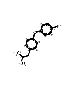 CC(C)Cc1ccc(Oc2ccc(F)cc2)cc1